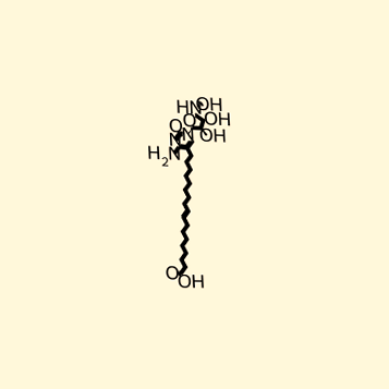 Nc1nc(=O)n([C@@H]2O[C@H](NO)[C@@H](O)[C@H]2O)cc1CCCCCCCC/C=C/CCCCCCCC(=O)O